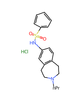 CCCN1CCc2ccc(NS(=O)(=O)c3ccccc3)cc2CC1.Cl